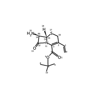 C=CC1=C(C(=O)OC(C)(C)C)N2C(=O)[C@@H](N)[C@@H]2SC1